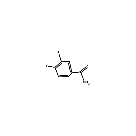 NC(=S)c1ccc(F)c(F)c1